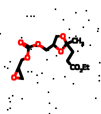 CCOC(=O)CCC1(C)OCC(COC(=O)OCC2CO2)O1